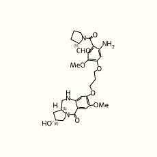 COc1cc(C(=O)N2CCC[C@H]2C=O)c(N)cc1OCCCOc1cc2c(cc1OC)C(=O)N1C[C@H](O)C[C@H]1CN2